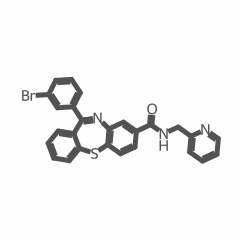 O=C(NCc1ccccn1)c1ccc2c(c1)N=C(c1cccc(Br)c1)c1ccccc1S2